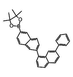 CC1(C)OB(c2ccc3cc(-c4cccc5ccc(-c6ccccc6)cc45)ccc3c2)OC1(C)C